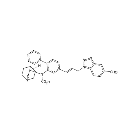 O=Cc1ccc2c(c1)nnn2CC=Cc1ccc(-c2ccccc2)c(N(C(=O)O)[C@H]2CN3CCC2CC3)c1